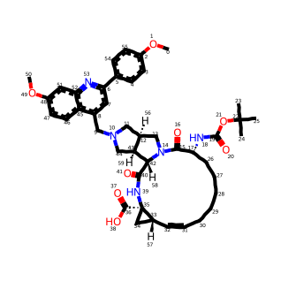 COc1ccc(-c2cc(CN3C[C@H]4CN5C(=O)[C@H](NC(=O)OC(C)(C)C)CCCCC/C=C\[C@@H]6C[C@@]6(C(=O)O)NC(=O)[C@@H]5[C@H]4C3)c3ccc(OC)cc3n2)cc1